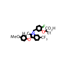 CCC(Oc1cc(Cn2c(C)c(Oc3ccc(OC)cc3)c3ccc(C(F)(F)F)cc32)ccc1F)C(=O)O